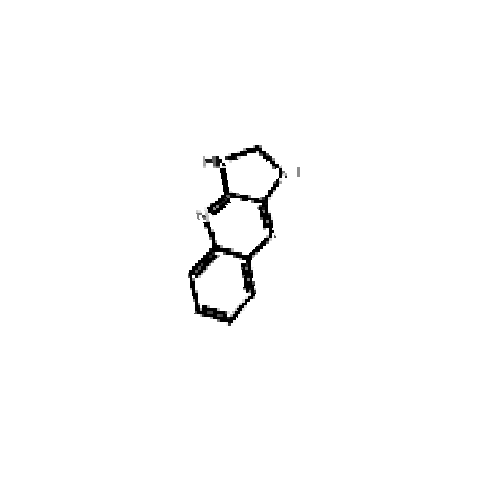 c1ccc2nc3c(nc2c1)NCN3